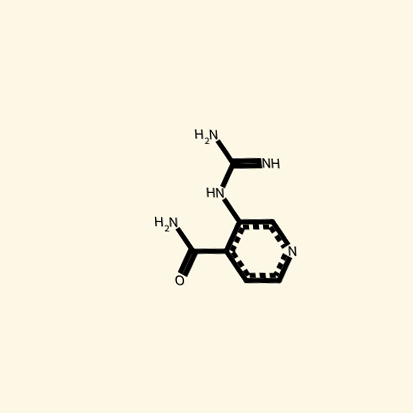 N=C(N)Nc1cnccc1C(N)=O